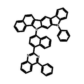 c1ccc(-c2nc(-c3ccc(-n4c5cc6c(cc5c5ccc7ccccc7c54)c4ccccc4n6-c4ccccc4)c4ccccc34)nc3ccccc23)cc1